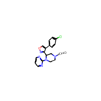 O=CN1CCN(c2ncccn2)C(c2nocc2-c2ccc(Cl)cc2)C1